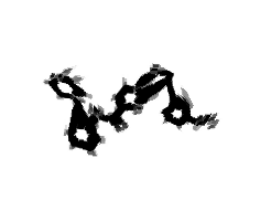 Nc1cccc(-c2cnn3ccc(C(=O)Nc4ccccc4N4CCNCC4)nc23)c1